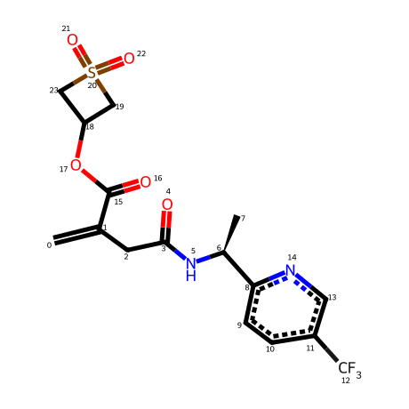 C=C(CC(=O)N[C@@H](C)c1ccc(C(F)(F)F)cn1)C(=O)OC1CS(=O)(=O)C1